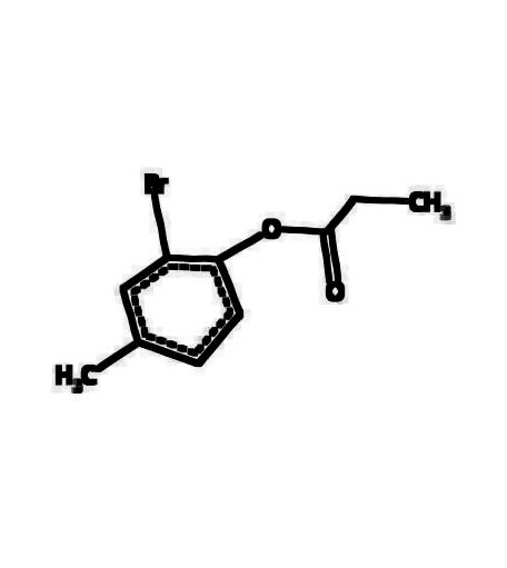 CCC(=O)Oc1ccc(C)cc1Br